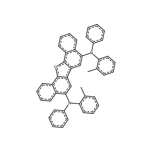 Cc1ccccc1N(c1ccccc1)c1cc2c3cc(N(c4ccccc4)c4ccccc4C)c4ccccc4c3oc2c2ccccc12